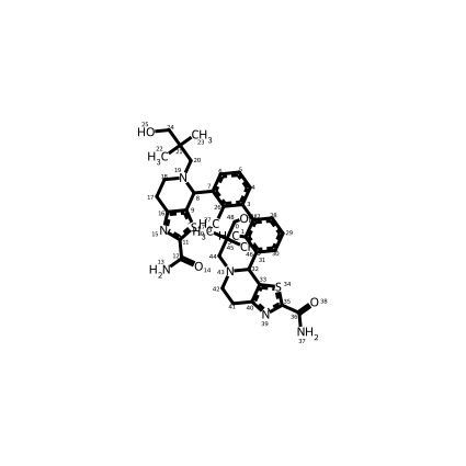 Cc1c(-c2cccc(C3c4sc(C(N)=O)nc4CCN3CC(C)(C)CO)c2C)cccc1C1c2sc(C(N)=O)nc2CCN1CC(C)(C)CO